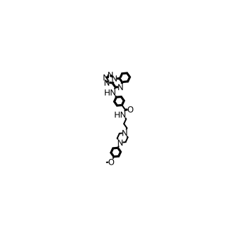 COc1ccc(N2CCN(CCCNC(=O)c3ccc(Nc4nc5ccccc5n5nnnc45)cc3)CC2)cc1